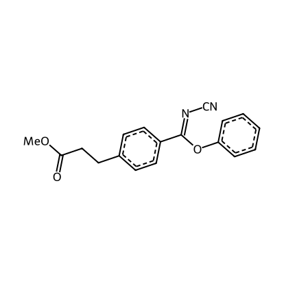 COC(=O)CCc1ccc(/C(=N/C#N)Oc2ccccc2)cc1